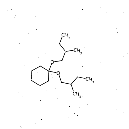 CCC(C)COC1(OCC(C)CC)CCCCC1